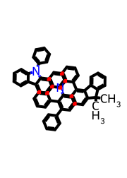 CC1(C)c2ccccc2-c2c(-c3ccccc3N(c3ccc4c5ccccc5n(-c5ccccc5)c4c3)c3cccc(-c4ccccc4)c3-c3ccccc3-c3ccccc3)cccc21